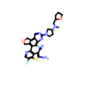 CN(CC1CCCO1)[C@H]1CCN(c2ncc3c4c(c(-c5ncc(F)c6sc(N)c(C#N)c56)c(F)c3n2)COC4)C1